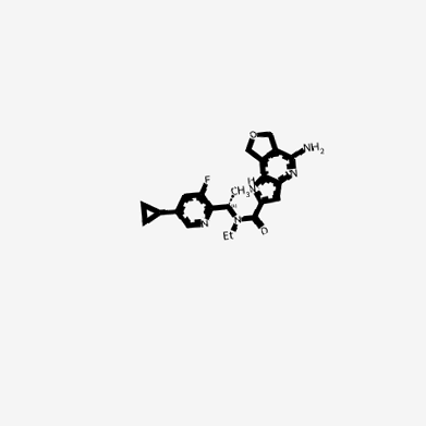 CCN(C(=O)c1cc2nc(N)c3c(c2[nH]1)COC3)[C@@H](C)c1ncc(C2CC2)cc1F